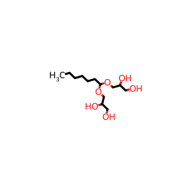 CCCCCCC(OCC(O)CO)OCC(O)CO